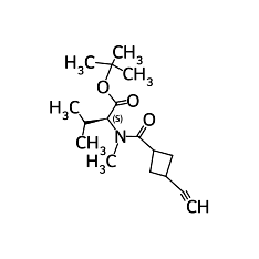 C#CC1CC(C(=O)N(C)[C@H](C(=O)OC(C)(C)C)C(C)C)C1